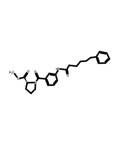 COC(=O)[C@@H]1CCCN1C(=O)c1cccc(NC(=O)CCCCCc2ccccc2)c1